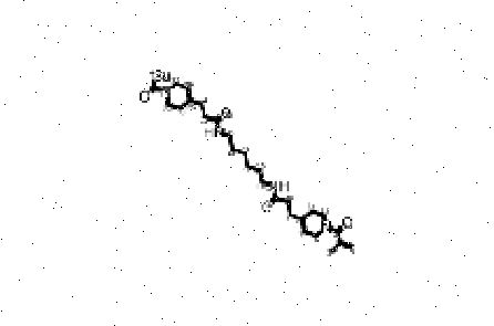 C=C(C)C(=O)N1CCC(CCC(=O)NCCCCCCNC(=O)CCC2CCN(C(=O)C(C)(C)C)CC2)CC1